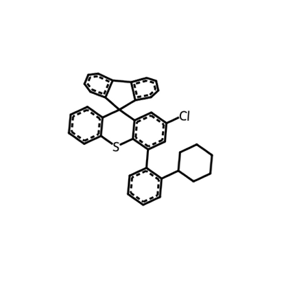 Clc1cc(-c2ccccc2C2CCCCC2)c2c(c1)C1(c3ccccc3S2)c2ccccc2-c2ccccc21